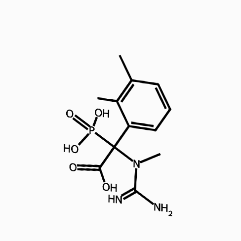 Cc1cccc(C(C(=O)O)(N(C)C(=N)N)P(=O)(O)O)c1C